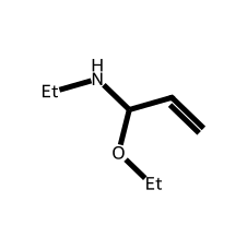 C=CC(NCC)OCC